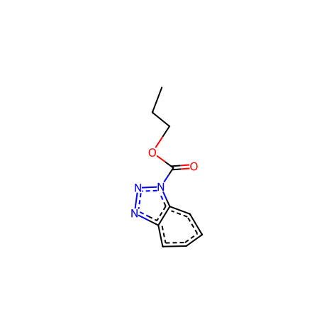 CCCOC(=O)n1nnc2ccccc21